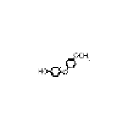 COc1ccc(Oc2[c]cc(O)cc2)cc1